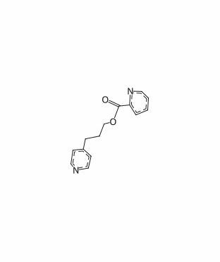 O=C(OCCCc1ccncc1)c1ccccn1